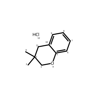 CC1(C)COc2ccccc2C1.Cl